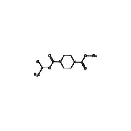 CC(Cl)OC(=O)N1CCN(C(=O)OC(C)(C)C)CC1